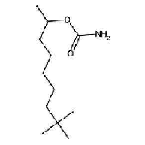 CC(CCCCCC(C)(C)C)OC(N)=O